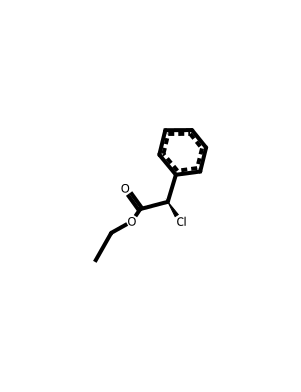 CCOC(=O)[C@H](Cl)c1ccccc1